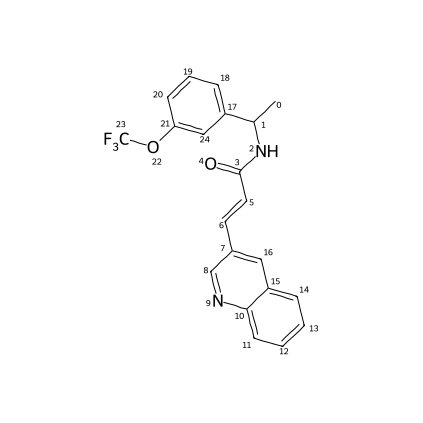 CC(NC(=O)C=Cc1cnc2ccccc2c1)c1cccc(OC(F)(F)F)c1